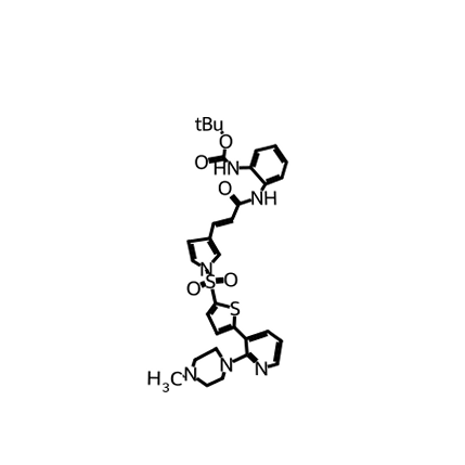 CN1CCN(c2ncccc2-c2ccc(S(=O)(=O)n3ccc(C=CC(=O)Nc4ccccc4NC(=O)OC(C)(C)C)c3)s2)CC1